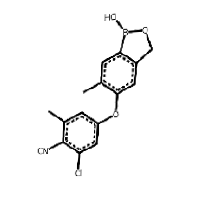 [C-]#[N+]c1c(C)cc(Oc2cc3c(cc2C)B(O)OC3)cc1Cl